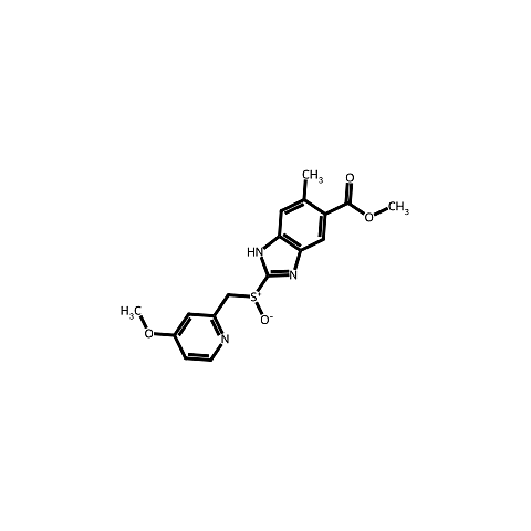 COC(=O)c1cc2nc([S+]([O-])Cc3cc(OC)ccn3)[nH]c2cc1C